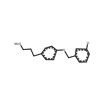 COCCCc1ccc(OCc2cccc(Cl)c2)cc1